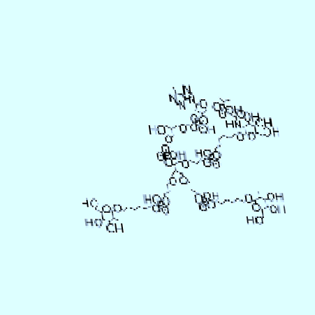 CC(=O)NC1[C@H](OCCCCCCOP(=O)(O)OCCCOCC(OP(=O)(O)OCOCC(CO)COCOP(=O)(O)O[C@H]2C[C@H](n3cnc4c(C)ncnc43)O[C@@H]2COP(=O)(O)C(C)C)C(COCCCOP(=O)(O)OCCCCCCO[C@@H]2OC(CO)[C@H](O)[C@H](O)C2C)COCCCOP(=O)(O)OCCCCCCO[C@@H]2OC(CO)[C@H](O)[C@H](O)C2C)OC(CO)[C@H](O)[C@@H]1O